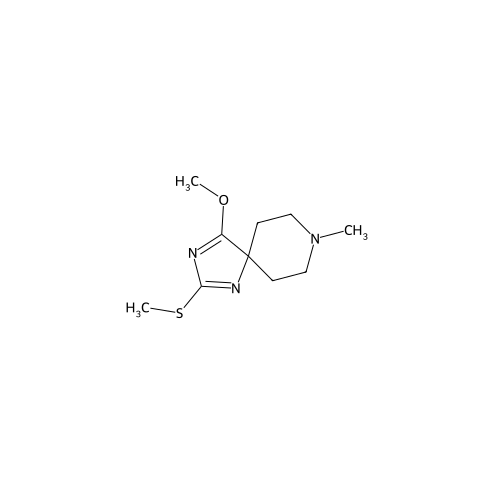 COC1=NC(SC)=NC12CCN(C)CC2